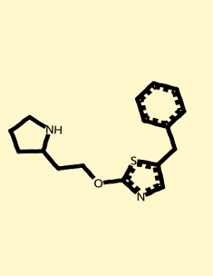 c1ccc(Cc2cnc(OCCC3CCCN3)s2)cc1